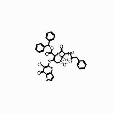 O=C(Cc1ccccc1)NC1C(=O)N2C(C(=O)OC(c3ccccc3)c3ccccc3)=C(Sc3sc4ccsc4c(=O)c3Cl)C[S+]([O-])[C@@H]12